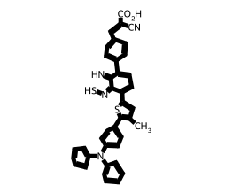 Cc1cc(C2=CC=C(c3ccc(/C=C(\C#N)C(=O)O)cc3)C(=N)/C2=N\S)sc1-c1ccc(N(c2ccccc2)c2ccccc2)cc1